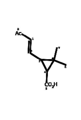 CC(=O)C=CC1C(C(=O)O)C1(C)C